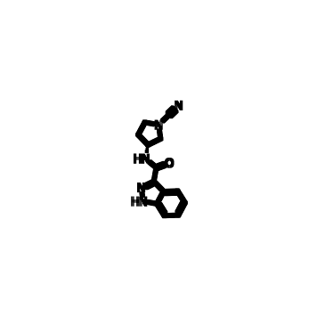 N#CN1CC[C@@H](NC(=O)c2n[nH]c3ccccc23)C1